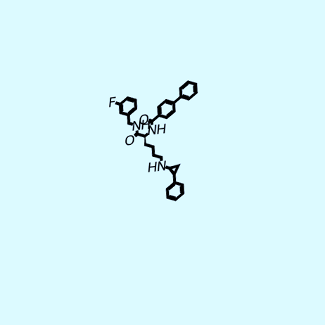 O=C(N[C@@H](CCCCNC1CC1c1ccccc1)C(=O)NCc1cccc(F)c1)c1ccc(-c2ccccc2)cc1